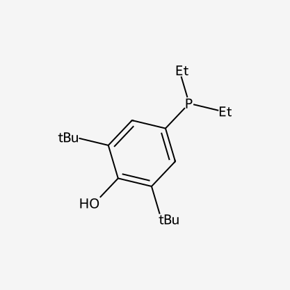 CCP(CC)c1cc(C(C)(C)C)c(O)c(C(C)(C)C)c1